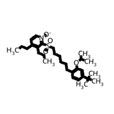 CCCc1cc[n+]([O-])c(S(=O)(=O)CCCCCCc2ccc(C(C)(C)C)cc2OC(C)C)c1CCC